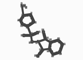 Nc1ccc(S(=O)(=O)ON2C(=O)c3ccccc3C2=O)cc1